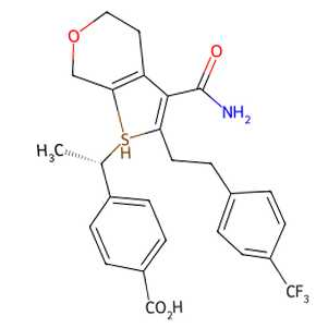 C[C@@H](c1ccc(C(=O)O)cc1)[SH]1C2=C(CCOC2)C(C(N)=O)=C1CCc1ccc(C(F)(F)F)cc1